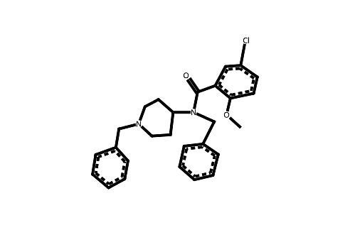 COc1ccc(Cl)cc1C(=O)N(Cc1ccccc1)C1CCN(Cc2ccccc2)CC1